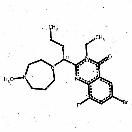 CCC[C@@H](c1nc2c(F)cc(Br)cc2c(=O)n1CC)N1CCCN(C)CC1